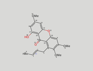 CCCC/C=C/Cc1c(OC)c(OC)cc2oc3cc(OC)cc(O)c3c(=O)c12